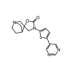 O=C1OC2(CN3CCC2CC3)CN1c1ccc(-c2cncnc2)s1